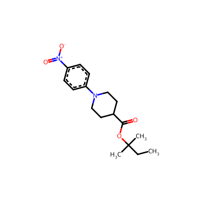 CCC(C)(C)OC(=O)C1CCN(c2ccc([N+](=O)[O-])cc2)CC1